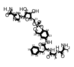 C[C@H](N)C(=O)N[C@@H](C)C(=O)N[C@@H](Cc1ccccc1)C(=O)Nc1ccc2c(c1)COP(=O)(OC[C@H]1O[C@@H](n3cnc(C(N)=O)n3)[C@H](O)[C@@H]1O)O2